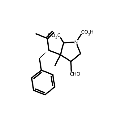 C=C(C)[C@@H](Cc1ccccc1)C1(C)C(C=O)CN(C(=O)O)C1C(=O)O